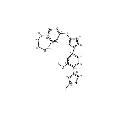 COc1cc(-c2cn(Cc3ccc4c(c3)OCCCO4)nn2)ccc1-n1cnc(C)c1